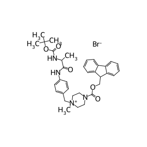 CC(NC(=O)OC(C)(C)C)C(=O)Nc1ccc(C[N+]2(C)CCN(C(=O)OCC3c4ccccc4-c4ccccc43)CC2)cc1.[Br-]